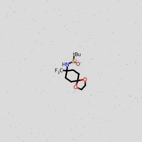 CC(C)(C)[S+]([O-])NC1(C(F)(F)F)CCC2(CC1)OCCO2